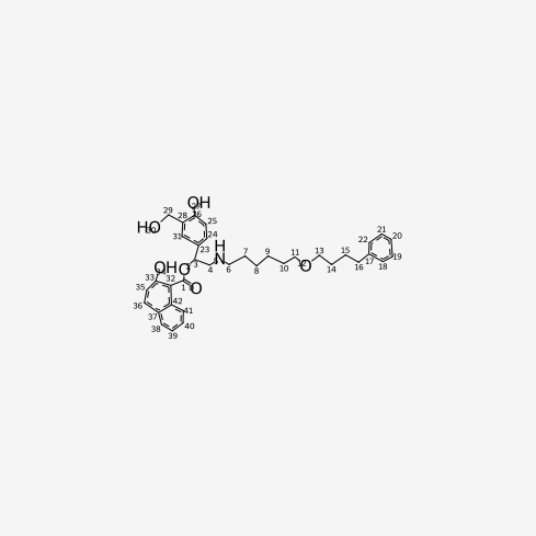 O=C(OC(CNCCCCCCOCCCCc1ccccc1)c1ccc(O)c(CO)c1)c1c(O)ccc2ccccc12